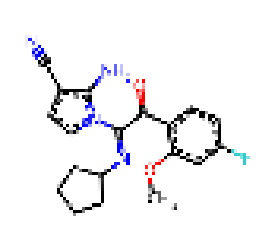 COc1cc(F)ccc1C(=O)/C(=N/C1CCCC1)n1ccc(C#N)c1N